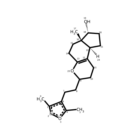 Cc1noc(C)c1CCC1CCC2=C(CC[C@]3(C)[C@H](O)CC[C@@H]23)O1